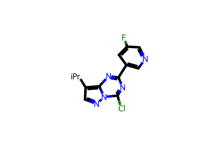 CC(C)c1cnn2c(Cl)nc(-c3cncc(F)c3)nc12